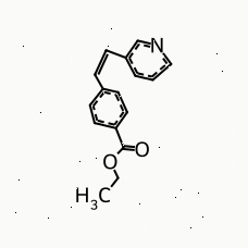 CCOC(=O)c1ccc(/C=C\c2cccnc2)cc1